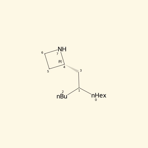 CCCCCCC(CCCC)C[C@@H]1CCN1